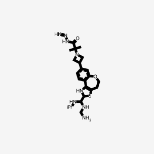 CC(C)NC(NCN)C1NC2=C(CCOc3cc(C4CN(C(C)(C)C(=O)NN=N)C4)ccc32)S1